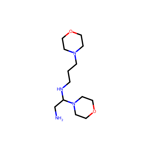 NCC(NCCCN1CCOCC1)N1CCOCC1